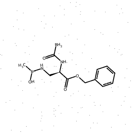 BC(=O)N[C@H](CNB(C)O)C(=O)OCc1ccccc1